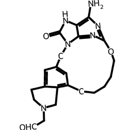 Nc1nc2nc3c1[nH]c(=O)n3Cc1cc(c3c(c1)CCN(CC=O)C3)CCCCCO2